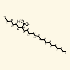 CCCCCCCCC=CCCCCCCC(CCCCCC)C(=O)O